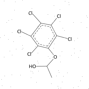 CC(O)Oc1c(Cl)c(Cl)c(Cl)c(Cl)c1Cl